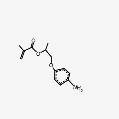 C=C(C)C(=O)OC(C)COc1ccc(N)cc1